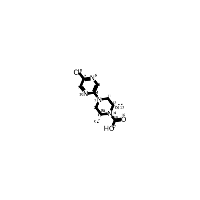 C[C@@H]1CN(c2cnc(Cl)cn2)C[C@H](C)N1C(=O)O